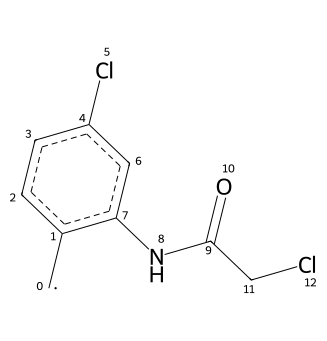 [CH2]c1ccc(Cl)cc1NC(=O)CCl